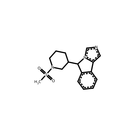 CS(=O)(=O)N1CCCC(C2c3ccccc3-c3cncn32)C1